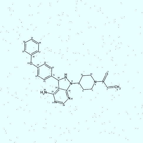 C=CC(=O)N1CCC(N2NC(c3ccc(Oc4ccccc4)cc3)c3c(N)ncnc32)CC1